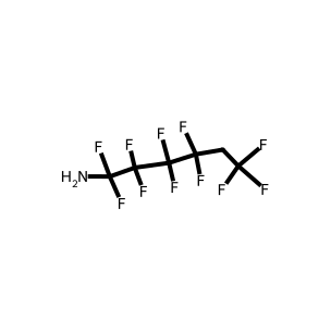 NC(F)(F)C(F)(F)C(F)(F)C(F)(F)CC(F)(F)F